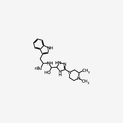 CCCCC(Cc1c[nH]c2ccccc12)NC(O)C1NN=C(N2CCN(C)C(C)C2)N1